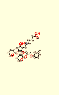 Cc1cccc(OCC(COC2C(OC3CCCCO3)CC(O)C2C/C=C/CCCC(=O)O)OC2CCCCO2)c1